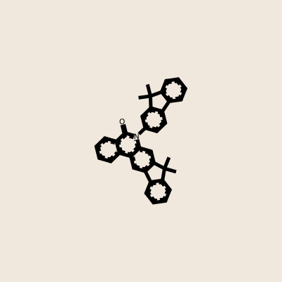 CC1(C)c2ccccc2-c2ccc(-n3c(=O)c4ccccc4c4cc5c(cc43)C(C)(C)c3ccccc3-5)cc21